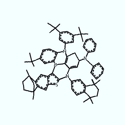 CC(C)(C)c1cc(N2C3=C4B(c5cc(C(C)(C)C)ccc52)c2c(sc5cc6c(cc25)C2(C)CCC6(C)CC2)N(c2ccc5c(c2)C(C)(C)CCC5(C)C)C4=CC(N(c2ccccc2)c2ccccc2)C3)cc(C(C)(C)C)c1